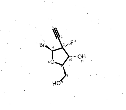 C#C[C@]1(F)[C@H](Br)O[C@H](CO)[C@H]1O